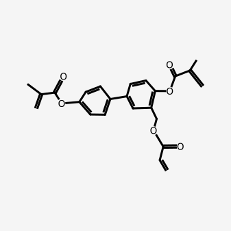 C=CC(=O)OCc1cc(-c2ccc(OC(=O)C(=C)C)cc2)ccc1OC(=O)C(=C)C